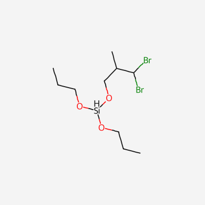 CCCO[SiH](OCCC)OCC(C)C(Br)Br